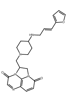 O=c1ccc2ncc(=O)n3c2n1CC3CN1CCC(NC/C=C/c2ccco2)CC1